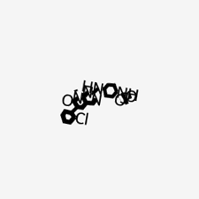 Cn1c(=O)c(-c2ccccc2Cl)cc2cnc(NC3CCC(NS(C)(=O)=O)CC3)nc21